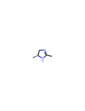 CC1=NC[C@H](C)N1